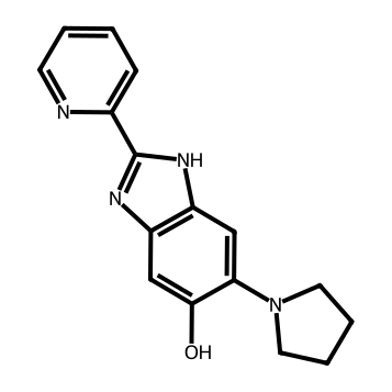 Oc1cc2nc(-c3ccccn3)[nH]c2cc1N1CCCC1